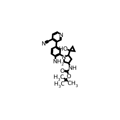 CC(C)(C)OC(=O)NC1CC(C2(O)CC2)N(c2cc(-c3cnccc3C#N)ccc2N)C1